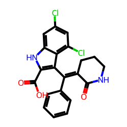 O=C1NCCCC1=C(c1ccccc1)c1c(C(=O)O)[nH]c2cc(Cl)cc(Cl)c12